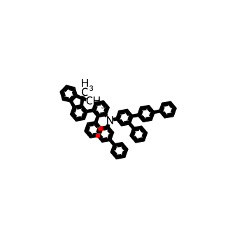 CC1(C)c2ccccc2-c2cccc(-c3cccc(N(c4cccc(-c5ccccc5)c4)c4ccc(-c5ccc(-c6ccccc6)cc5)c(-c5ccccc5)c4)c3-c3ccccc3)c21